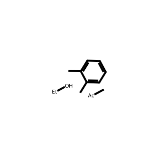 CC(C)=O.CCO.Cc1ccccc1C